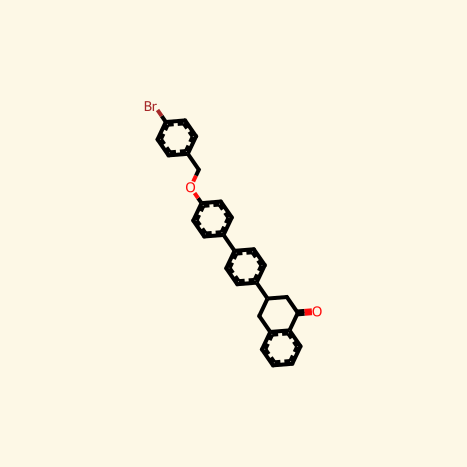 O=C1CC(c2ccc(-c3ccc(OCc4ccc(Br)cc4)cc3)cc2)Cc2ccccc21